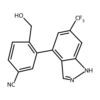 N#Cc1ccc(CO)c(-c2cc(C(F)(F)F)cc3[nH]ncc23)c1